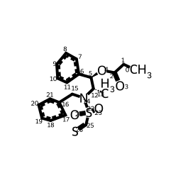 CCC(=O)O[C@H](c1ccccc1)[C@H](C)N(Cc1ccccc1)S(=O)(=O)C=S